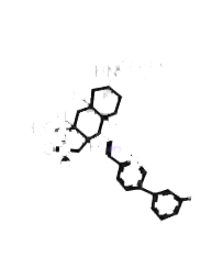 CCOC(=O)N[C@@H]1CC[C@@H]2[C@@H](C1)C[C@@H]1[C@@H](CS(=O)(=O)N1C)[C@H]2/C=C/c1ccc(-c2cccc(F)c2)cn1